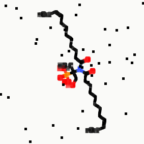 CCCCCCCC/C=C\CCCCCCCC(=O)N(C(=O)CCCCCCC/C=C\CCCCCCCC)C(CO)(C(=O)O)P(=O)(O)O